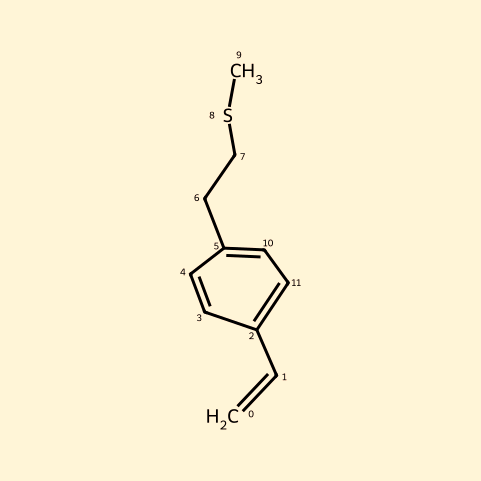 C=Cc1ccc(CCSC)cc1